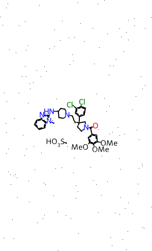 COc1cc(C(=O)N2CCC(CCN3CCC(Nc4nc5ccccc5n4C)CC3)(c3ccc(Cl)c(Cl)c3)C2)cc(OC)c1OC.CS(=O)(=O)O